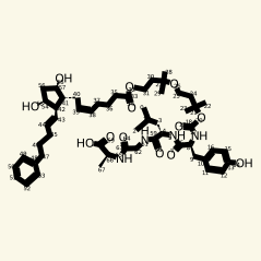 CC(C)C[C@H](NC(=O)[C@H](Cc1ccc(O)cc1)NC(=O)OC(C)(C)CCOC(C)(C)CCOC(=O)CCC/C=C\C[C@@H]1[C@@H](/C=C/CCCc2ccccc2)[C@H](O)C[C@@H]1O)C(=O)NCC(=O)N[C@@H](C)C(=O)O